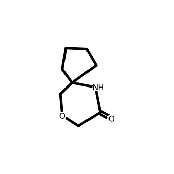 O=C1COCC2(CCCC2)N1